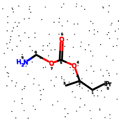 CC(C)CC(C)OC(=O)OCN